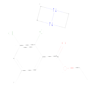 C1CN2CCN12.CCOC(=O)c1cc(C)cc(Cl)c1Cl